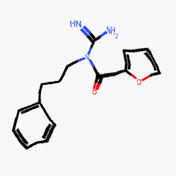 N=C(N)N(CCCc1ccccc1)C(=O)c1ccco1